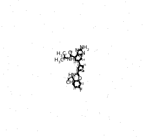 CC[C@@H](NC(=O)c1cc(-c2cc(C(=O)NC(C)C)c3nc(N)nn3c2)cs1)c1ccc(F)cc1